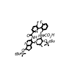 C[C@H]1CN(c2c(NC(=O)c3ccc(F)c(-c4c(F)cccc4F)n3)cnc3c2CC[C@H]3O[Si](C)(C)C(C)(C)C)C[C@@H](NC(=O)O)[C@@H]1O[Si](C)(C)C(C)(C)C